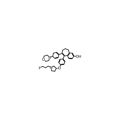 Oc1ccc2c(c1)CCCC(C1=CCC(N3CCOCC3)C=C1)=C2c1ccc(O[C@H]2CCN(CCCF)C2)cc1